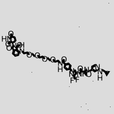 O=C1CCC(N2C(=O)c3cccc(NCCOCCOCCOCCOCCNC(=O)c4ccc(-n5cc(NC(=O)c6coc(-c7ccnc(NCC8CC8)c7)n6)c(C(F)F)n5)cc4)c3C2=O)C(=O)N1